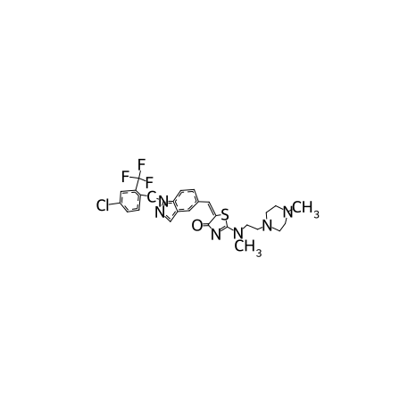 CN1CCN(CCN(C)C2=NC(=O)C(=Cc3ccc4c(cnn4Cc4ccc(Cl)cc4C(F)(F)F)c3)S2)CC1